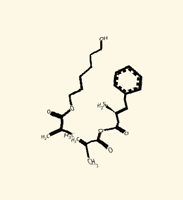 C=C(C)C(=O)OC(=O)[C@@H](N)Cc1ccccc1.C=C(C)C(=O)OCCCCCCO